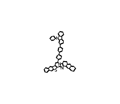 c1ccc(-n2c3ccccc3c3ccc(-c4ccc(-c5ccc(-c6cc7c8cc9ccccc9cc8sc7c7nc8c9cc%10ccccc%10cc9ccc8n67)cc5)cc4)cc32)cc1